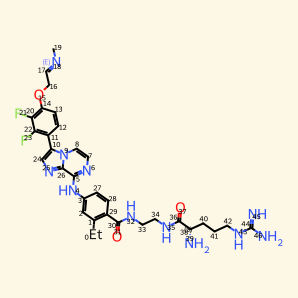 CCc1cc(Nc2nccn3c(-c4ccc(OC/C=N/C)c(F)c4F)cnc23)ccc1C(=O)NCCNC(=O)[C@@H](N)CCCNC(=N)N